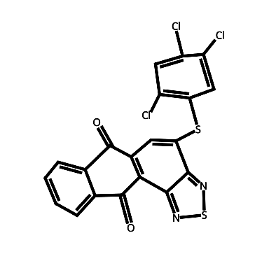 O=C1c2ccccc2C(=O)c2c1cc(Sc1cc(Cl)c(Cl)cc1Cl)c1nsnc21